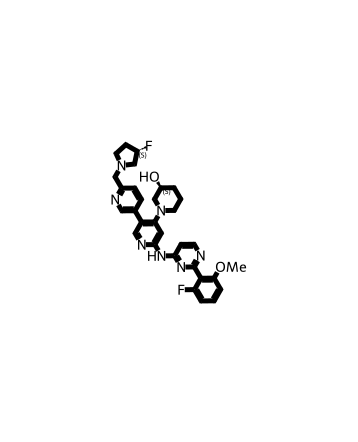 COc1cccc(F)c1-c1nccc(Nc2cc(N3CCC[C@H](O)C3)c(-c3ccc(CN4CC[C@H](F)C4)nc3)cn2)n1